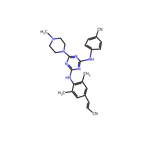 Cc1cc(/C=C/C#N)cc(C)c1Nc1nc(Nc2ccc(C#N)cc2)nc(N2CCN(C)CC2)n1